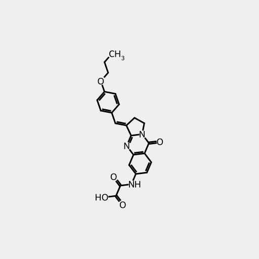 CCCOc1ccc(/C=C2\CCn3c2nc2cc(NC(=O)C(=O)O)ccc2c3=O)cc1